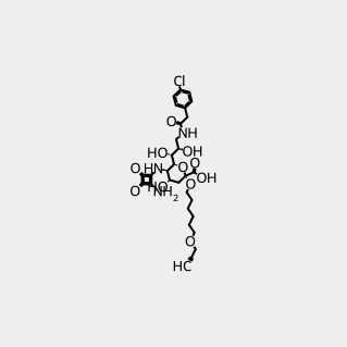 C#CCOCCCCCCO[C@]1(C(=O)O)C[C@H](O)[C@@H](Nc2c(N)c(=O)c2=O)[C@H]([C@H](O)[C@H](O)CNC(=O)Cc2ccc(Cl)cc2)O1